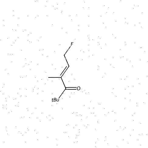 C/C(=C\CF)C(=O)C(C)(C)C